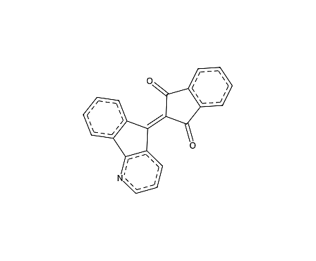 O=C1C(=C2c3ccccc3-c3ncccc32)C(=O)c2ccccc21